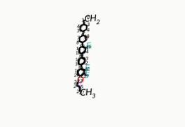 C=CC1CCC(C2CCC(c3ccc(-c4ccc(-c5ccc(O/C=C\CCC)c(F)c5F)cc4)cc3F)CC2)CC1